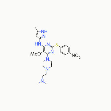 COc1c(Nc2cc(C)[nH]n2)nc(Sc2ccc([N+](=O)[O-])cc2)nc1N1CCN(CCN(C)C)CC1